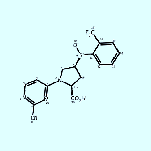 N#Cc1nccc(N2C[C@@H]([S+]([O-])c3ccccc3C(F)(F)F)C[C@H]2C(=O)O)n1